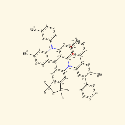 CC(C)(C)c1cccc(N2c3cc(C(C)(C)C)ccc3B3c4cc5c(cc4N(c4cc(-c6ccccc6)c(C(C)(C)C)cc4-c4ccccc4)c4cc(C(C)(C)C)cc2c43)C(C)(C)CC5(C)C)c1